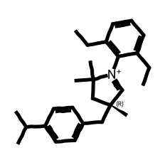 CCc1cccc(CC)c1[N+]1=C[C@](C)(Cc2ccc(C(C)C)cc2)CC1(C)C